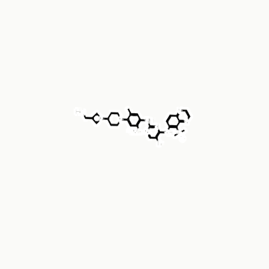 COc1cc(N2CCC(N3CC(CO)C3)CC2)c(C)cc1Nc1ncc(Br)c(Nc2ccc3nccnc3c2P(C)(C)=O)n1